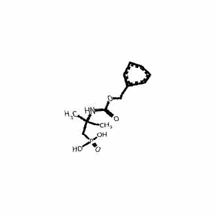 CC(C)(CP(=O)(O)O)NC(=O)OCc1ccccc1